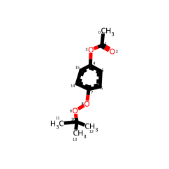 CC(=O)Oc1ccc(OOC(C)(C)C)cc1